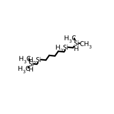 C[SiH](C)C[SiH2]CCCCC[SiH2]C[SiH](C)C